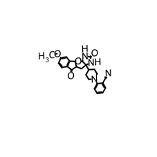 COc1ccc2c(c1)CC(CC1(C3CCN(c4ccccc4C#N)CC3)NC(=O)NC1=O)C2=O